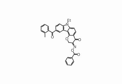 CCn1c2ccc(C(=O)c3ccccc3C)cc2c2c3c(ccc21)C(=O)/C(=N/OC(=O)c1ccccc1)CO3